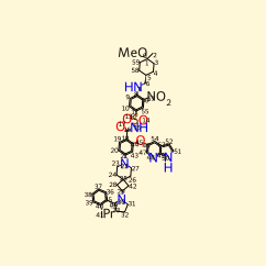 CO[C@]1(C)CC[C@@H](CNc2ccc(S(=O)(=O)NC(=O)c3ccc(N4CCC5(CC4)CC(N4CCC[C@H]4c4ccccc4C(C)C)C5)cc3Oc3cnc4[nH]ccc4c3)cc2[N+](=O)[O-])CC1